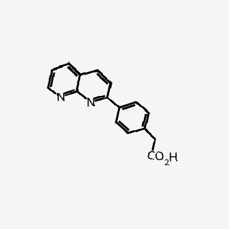 O=C(O)Cc1ccc(-c2ccc3cccnc3n2)cc1